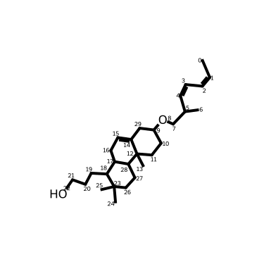 C/C=C\C=C/C(C)COC1CCC2(C)C(=CCC3C(CCCO)C(C)(C)CCC32)C1